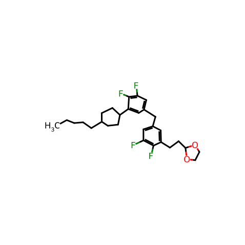 CCCCCC1CCC(c2cc(Cc3cc(F)c(F)c(CCC4OCCO4)c3)cc(F)c2F)CC1